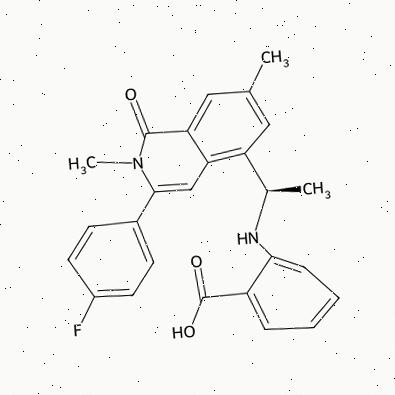 Cc1cc([C@@H](C)Nc2ccccc2C(=O)O)c2cc(-c3ccc(F)cc3)n(C)c(=O)c2c1